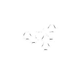 C[C@H](Nc1nc(Cl)nc2nccnc12)c1cc2cccc(Cl)c2c(=O)n1-c1ccccc1